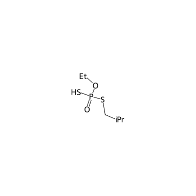 CCOP(=O)(S)SCC(C)C